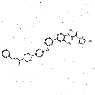 Cc1cc(-c2ccnc(Nc3ccc(N4CCN(C(=O)OCc5ccccc5)CC4)cc3)n2)ccc1[C@@H](C)NC(=O)c1nc(C(C)(C)C)no1